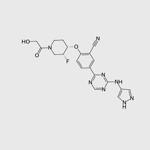 N#Cc1cc(-c2ncnc(Nc3cn[nH]c3)n2)ccc1O[C@H]1CCN(C(=O)CO)C[C@H]1F